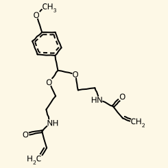 C=CC(=O)NCCOC(OCCNC(=O)C=C)c1ccc(OC)cc1